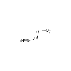 N#CSSO